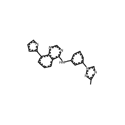 Cc1ncn(-c2cccc(Nc3ncnc4c(-c5cccs5)cccc34)c2)n1